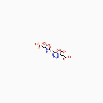 [N-]=[N+]=NC(CCC(=O)NC(CCC(=O)O)C(=O)O)C(=O)NC(CCC(=O)O)C(=O)O